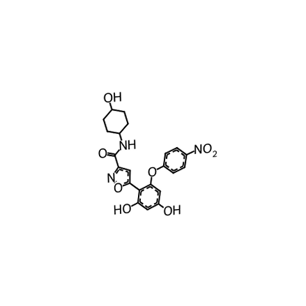 O=C(NC1CCC(O)CC1)c1cc(-c2c(O)cc(O)cc2Oc2ccc([N+](=O)[O-])cc2)on1